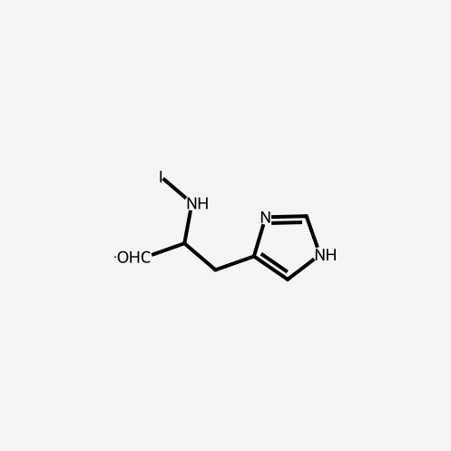 O=[C]C(Cc1c[nH]cn1)NI